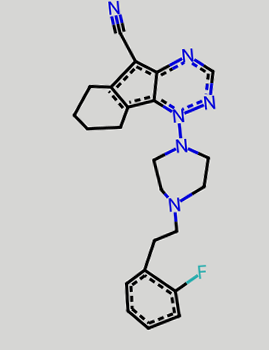 N#Cc1c2ncnn(N3CCN(CCc4ccccc4F)CC3)c-2c2c1CCCC2